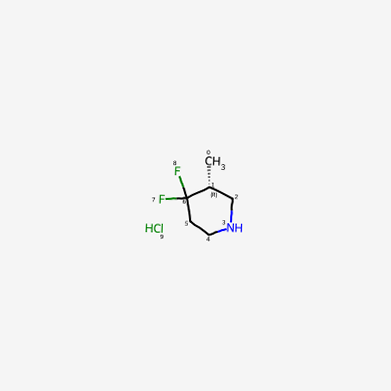 C[C@@H]1CNCCC1(F)F.Cl